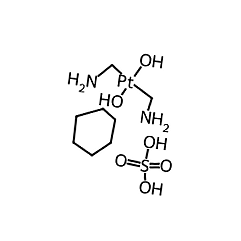 C1CCCCC1.N[CH2][Pt]([OH])([OH])[CH2]N.O=S(=O)(O)O